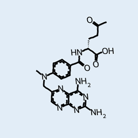 CC(=O)CC[C@@H](NC(=O)c1ccc(N(C)Cc2cnc3nc(N)nc(N)c3n2)cc1)C(=O)O